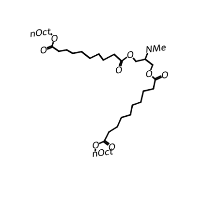 CCCCCCCCOC(=O)CCCCCCCCC(=O)OCC(COC(=O)CCCCCCCCC(=O)OCCCCCCCC)NC